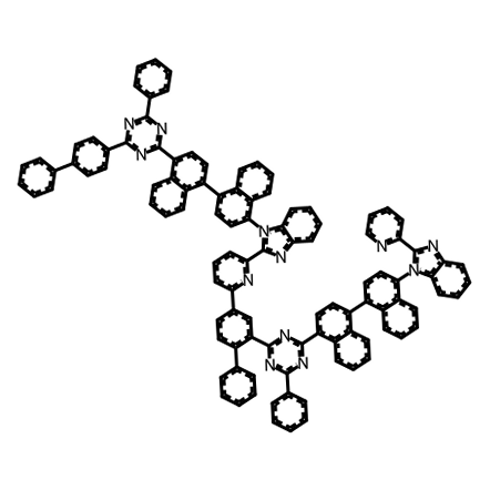 c1ccc(-c2ccc(-c3nc(-c4ccccc4)nc(-c4ccc(-c5ccc(-n6c(-c7cccc(-c8ccc(-c9ccccc9)c(-c9nc(-c%10ccccc%10)nc(-c%10ccc(-c%11ccc(-n%12c(-c%13ccccn%13)nc%13ccccc%13%12)c%12ccccc%11%12)c%11ccccc%10%11)n9)c8)n7)nc7ccccc76)c6ccccc56)c5ccccc45)n3)cc2)cc1